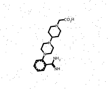 N=C(N)c1ccccc1N1CCN(C2CCN(CC(=O)O)CC2)CC1